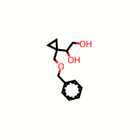 OCC(O)C1(COCc2ccccc2)CC1